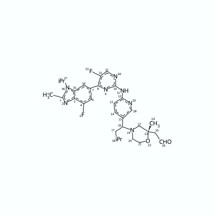 Cc1nc2c(F)cc(-c3nc(Nc4ccc(C(CC(C)C)N5CCO[C@@](C)(CC=O)C5)cn4)ncc3F)cc2n1C(C)C